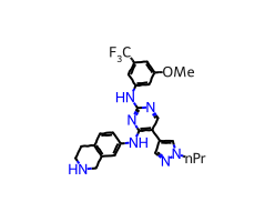 CCCn1cc(-c2cnc(Nc3cc(OC)cc(C(F)(F)F)c3)nc2Nc2ccc3c(c2)CNCC3)cn1